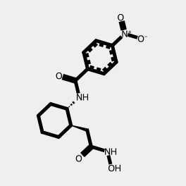 O=C(C[C@H]1CCCC[C@@H]1NC(=O)c1ccc([N+](=O)[O-])cc1)NO